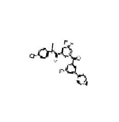 O=C(Nc1ccc(Cl)cc1)C1CN(C(=O)c2cc(F)cc(-c3ccncc3)c2)CC(F)(F)C1